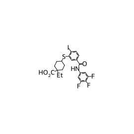 CCC1(C(=O)O)CCC(Sc2cc(C(=O)Nc3cc(F)c(F)c(F)c3)ccc2I)CC1